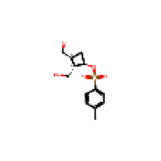 Cc1ccc(S(=O)(=O)O[C@@H]2C[C@H](CO)[C@H]2CO)cc1